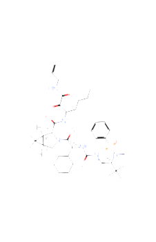 C=CCNC(=O)C(=O)C(CCCC)NC(=O)[C@@H]1[C@@H]2[C@H](CN1C(=O)[C@@H](NC(=O)NC[C@@H](N(C)S(=O)(=O)c1ccccc1)C(C)(C)C)C1CCCCC1)C2(C)C